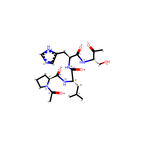 CC(=O)[C@H](CO)NC(=O)[C@H](Cc1cnc[nH]1)NC(=O)[C@H](CC(C)C)NC(=O)[C@@H]1CCCN1C(C)=O